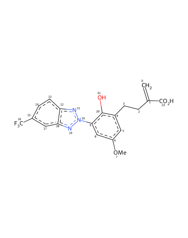 C=C(CCc1cc(OC)cc(-n2nc3ccc(C(F)(F)F)cc3n2)c1O)C(=O)O